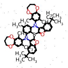 Cc1cc2c3c(c1)N(c1c(C)cc4c(c1C)OCCCO4)c1c(oc4ccc(C(C)(C)C)cc14)B3c1oc3ccc(C(C)(C)C)cc3c1N2c1c(C)cc2c(c1C)OCCCO2